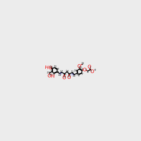 COC(=O)COc1ccc(/C=C/C(=O)CC(=O)/C=C/c2ccc(O)c(CO)c2)cc1OC